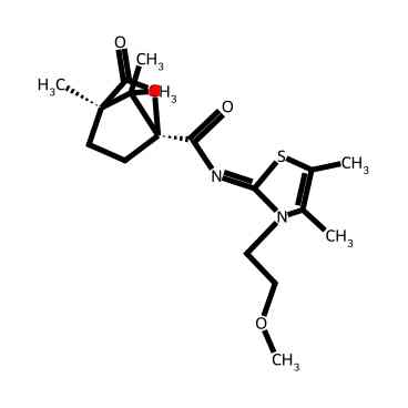 COCCn1c(C)c(C)s/c1=N\C(=O)[C@@]12CC[C@@](C)(C(=O)O1)C2(C)C